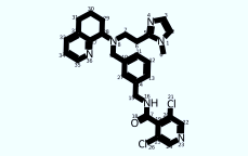 Cn1ccnc1CCN(Cc1cccc(CNC(=O)c2c(Cl)cncc2Cl)c1)C1CCCc2cccnc21